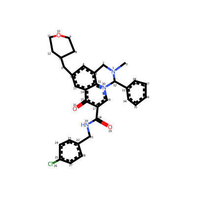 CN1Cc2cc(CC3CCOCC3)cc3c(=O)c(C(=O)NCc4ccc(Cl)cc4)cn(c23)C1c1ccccc1